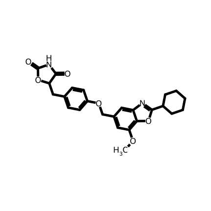 COc1cc(COc2ccc(CC3OC(=O)NC3=O)cc2)cc2nc(C3CCCCC3)oc12